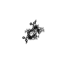 CCC(=O)N[C@H]1C[C@@H](n2cnc3c(NCC(c4ccccc4)c4ccc(F)cc4)nc(N4CC[C@@H](NC(=O)N[C@H]5CCN(c6nc(NCC(c7ccccc7)c7ccc(F)cc7)c7ncn([C@@H]8C[C@H](NC(=O)CC)[C@@H](O)[C@H]8O)c7n6)C5)C4)nc32)[C@H](O)[C@@H]1O